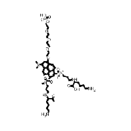 CC(=O)C(CCCCN)NCCCN(C)S(=O)(=O)c1cc(S(=O)(=O)N(C)CCCNC(CCCCN)C(=O)O)c2ccc3c(OCCOCCOCCOCCOS(=O)(=O)O)cc(N(C)C)c4ccc1c2c34